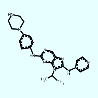 CC(C)n1c(Nc2ccncc2)nc2cnc(Nc3ccc(N4CCNCC4)cc3)nc21